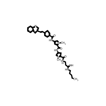 CCCCCNC(=N)CCNC(=O)c1cc(NC(=O)c2cc(NC(=O)c3ccc(/C=C/c4cnc5ccccc5c4)cc3)cn2C)cn1C